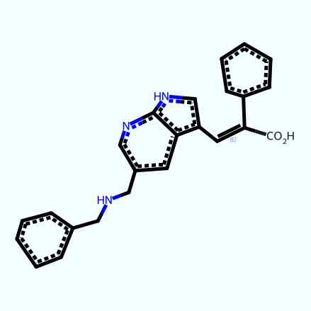 O=C(O)/C(=C/c1c[nH]c2ncc(CNCc3ccccc3)cc12)c1ccccc1